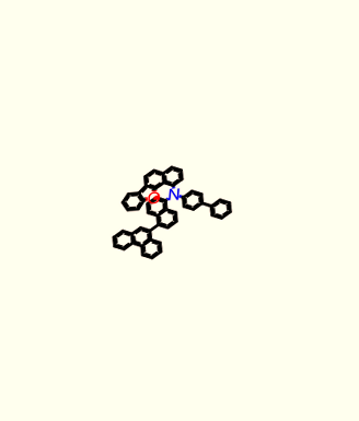 c1ccc(-c2ccc(N(c3cccc4c(-c5cc6ccccc6c6ccccc56)cccc34)c3cccc4ccc5c6ccccc6oc5c34)cc2)cc1